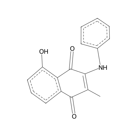 CC1=C(Nc2ccccc2)C(=O)c2c(O)cccc2C1=O